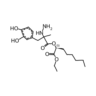 CCCCCC[C@H](OC(=O)C(C)(Cc1ccc(O)c(O)c1)NN)C(=O)OCC